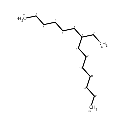 [CH2]CCCCCC(CC)CCCCCCC